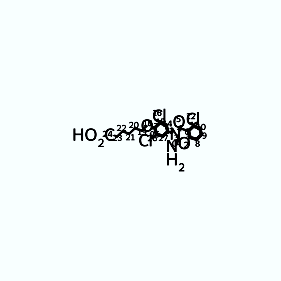 NC(=O)N(C(=O)c1ccccc1Cl)c1cc(Cl)c(OCCCCCC(=O)O)c(Cl)c1